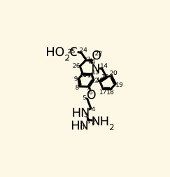 N=C(N)NCCOc1ccc2c(c1)N(Cc1ccccc1)C(=O)C(CC(=O)O)C2